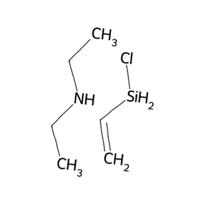 C=C[SiH2]Cl.CCNCC